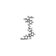 CC(C)(C)C(=O)n1c(=N)[nH]c2c(OCCN3CCN(c4cccc5[nH]c(-c6ccc(C(C)(C)C)cc6)nc45)CC3)cccc21